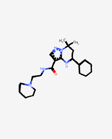 CC1(C)CC(C2CCCCC2)Nc2c(C(=O)NCCN3CCCCC3)cnn21